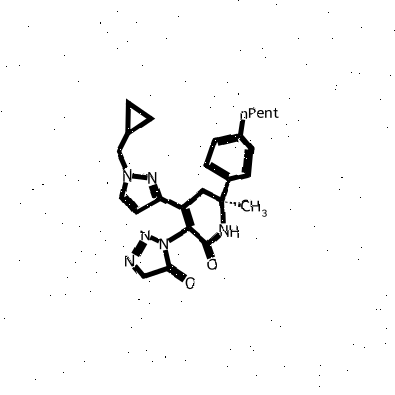 CCCCCc1ccc([C@]2(C)CC(c3ccn(CC4CC4)n3)=C(N3N=NCC3=O)C(=O)N2)cc1